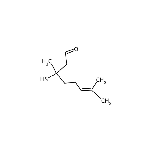 CC(C)=CCCC(C)(S)CC=O